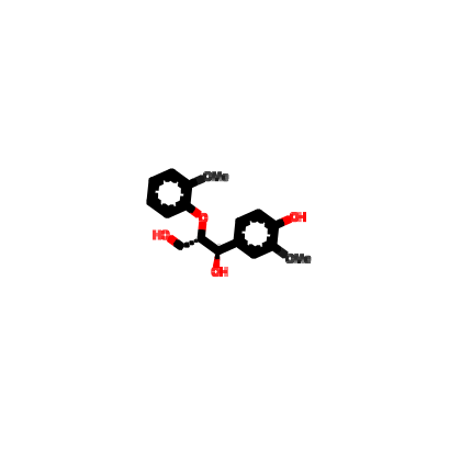 COc1cc([C@@H](O)[C@H](CO)Oc2ccccc2OC)ccc1O